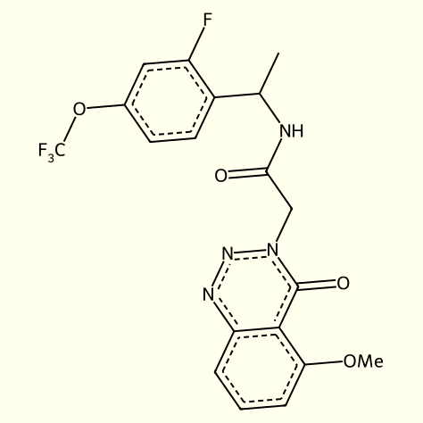 COc1cccc2nnn(CC(=O)NC(C)c3ccc(OC(F)(F)F)cc3F)c(=O)c12